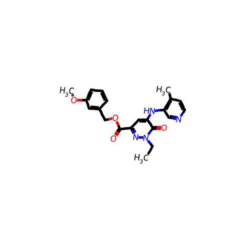 CCn1nc(C(=O)OCc2cccc(OC)c2)cc(Nc2cnccc2C)c1=O